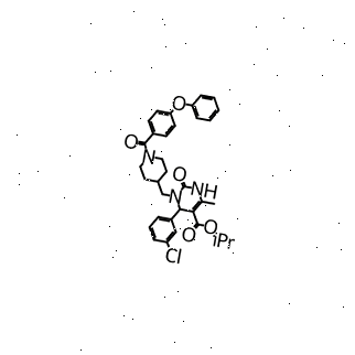 CC1=C(C(=O)OC(C)C)C(c2cccc(Cl)c2)N(CC2CCN(C(=O)c3ccc(Oc4ccccc4)cc3)CC2)C(=O)N1